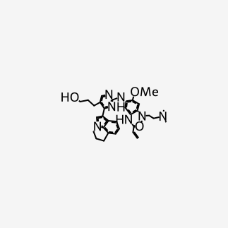 C=CC(=O)Nc1cc(Nc2ncc(CCCO)c(-c3cn4c5c(cccc35)CCC4)n2)c(OC)cc1N(C)CCN(C)C